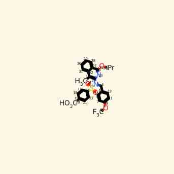 Cc1c(N(Cc2ccc(OC(F)(F)F)cc2)S(=O)(=O)c2ccc(C(=O)O)cc2)nc(OC(C)C)c2ccccc12